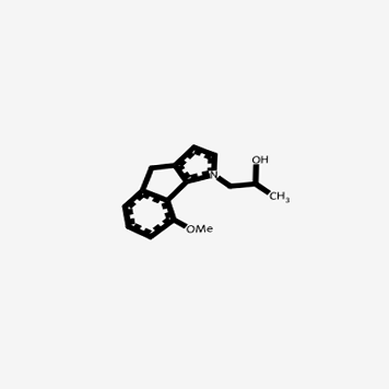 COc1cccc2c1-c1c(ccn1CC(C)O)C2